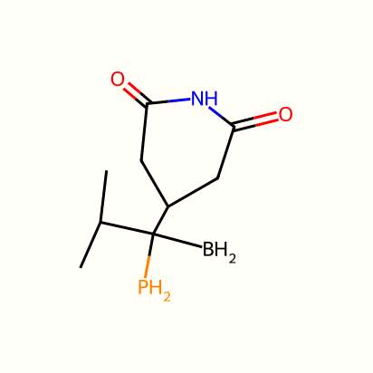 BC(P)(C(C)C)C1CC(=O)NC(=O)C1